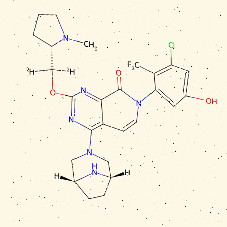 [2H]C([2H])(Oc1nc(N2C[C@H]3CC[C@@H](C2)N3)c2ccn(-c3cc(O)cc(Cl)c3C(F)(F)F)c(=O)c2n1)[C@@H]1CCCN1C